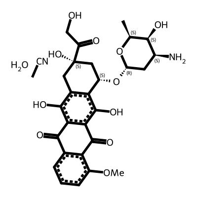 CC#N.COc1cccc2c1C(=O)c1c(O)c3c(c(O)c1C2=O)C[C@@](O)(C(=O)CO)C[C@@H]3O[C@H]1C[C@H](N)[C@H](O)[C@H](C)O1.O